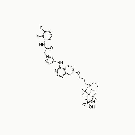 CC(C)(C)C(OP(=O)(O)O)([C@H]1CCCN1CCCOc1ccc2c(Nc3cnn(CC(=O)Nc4cccc(F)c4F)c3)ncnc2c1)C(C)(C)C